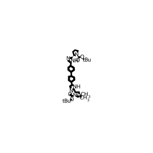 CC(C)(C)OC(=O)N1C[Si](C)(C)CC1c1ncc(-c2ccc(-c3ccc(-c4cnc([C@@H]5CCCN5C(=O)OC(C)(C)C)[nH]4)cc3)cc2)[nH]1